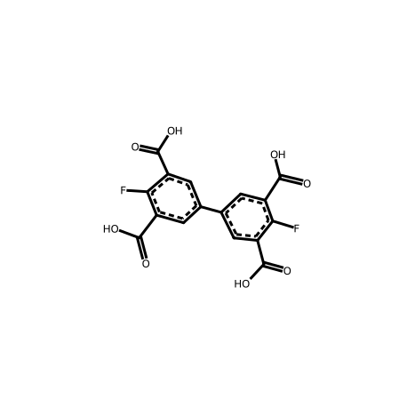 O=C(O)c1cc(-c2cc(C(=O)O)c(F)c(C(=O)O)c2)cc(C(=O)O)c1F